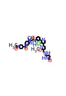 COc1nc(-c2ccnc(-c3cccc(NC(=O)c4nc5c(n4C)CCN(C(=O)C4CCN(C(C)=O)CC4)C5)c3Cl)c2Cl)ccc1CNCC1CCC(=O)N1